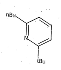 CCCCc1cccc(C(C)(C)C)n1